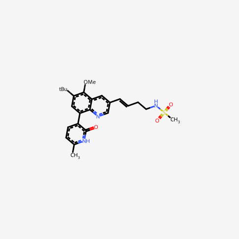 COc1c(C(C)(C)C)cc(-c2ccc(C)[nH]c2=O)c2ncc(/C=C/CCNS(C)(=O)=O)cc12